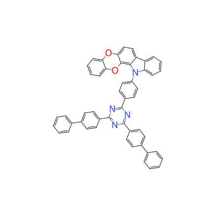 c1ccc(-c2ccc(-c3nc(-c4ccc(-c5ccccc5)cc4)nc(-c4ccc(-n5c6ccccc6c6ccc7c(c65)Oc5ccccc5O7)cc4)n3)cc2)cc1